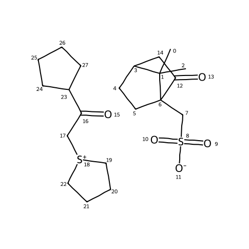 CC1(C)C2CCC1(CS(=O)(=O)[O-])C(=O)C2.O=C(C[S+]1CCCC1)C1CCCC1